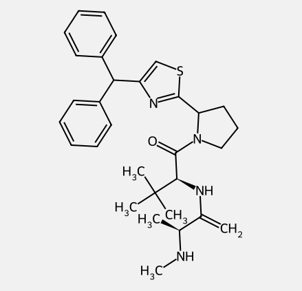 C=C(N[C@H](C(=O)N1CCCC1c1nc(C(c2ccccc2)c2ccccc2)cs1)C(C)(C)C)[C@H](C)NC